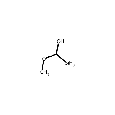 COC(O)[SiH3]